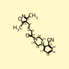 Cc1noc(C)c1CSCC(=O)N1CCN(c2ccccc2C#N)CC1